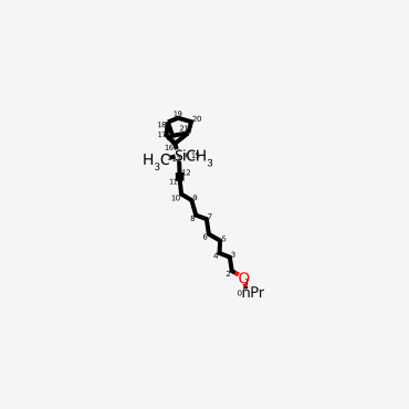 CCCOCCCCCCCCCC#C[Si](C)(C)C1CC2CCC1C2